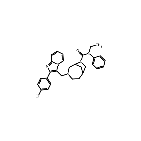 CCN(C(=O)N1CC2CCN(Cc3c(-c4ccc(Cl)cc4)nc4ccccn34)CC1C2)c1ccccc1